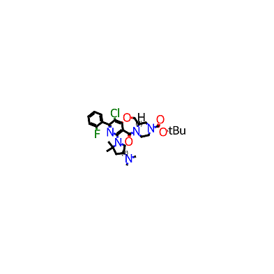 CN(C)[C@H]1CN(c2nc(-c3ccccc3F)c(Cl)c3c2C(=O)N2CCN(C(=O)OC(C)(C)C)C[C@@H]2CO3)C(C)(C)C1